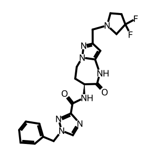 O=C(N[C@H]1CCn2nc(CN3CCC(F)(F)C3)cc2NC1=O)c1ncn(Cc2ccccc2)n1